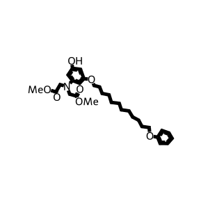 COC(=O)CN(CC(=O)OC)c1cc(O)cc(OCCCCCCCCCCCCOc2ccccc2)c1